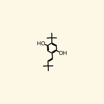 CC(C)(C)/C=C/c1cc(O)c(C(C)(C)C)cc1O